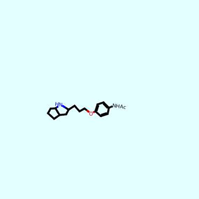 CC(=O)Nc1ccc(OCCCC2CC3CCCC3N2)cc1